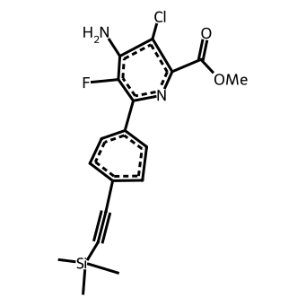 COC(=O)c1nc(-c2ccc(C#C[Si](C)(C)C)cc2)c(F)c(N)c1Cl